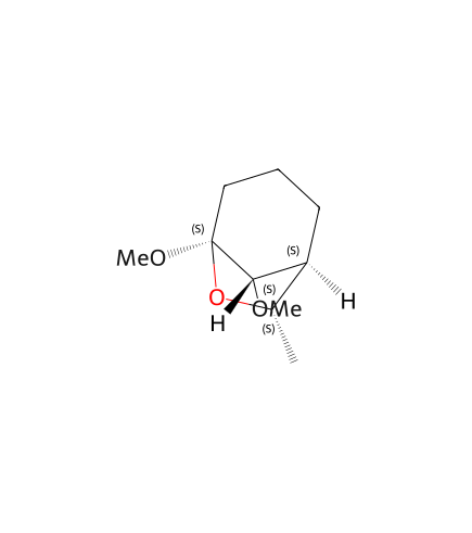 CO[C@H]1[C@H]2CCC[C@]1(OC)O[C@H]2C